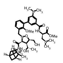 COC(=O)[C@@H](CN(C)C)NC(=O)c1cc(-c2cccc(CN3O[C@@H](CO)[C@@H]([C@H](C)O)[C@H]3C(=O)N[C@H]3C[C@H]4C[C@@H]([C@@H]3C)C4(C)C)c2OC)cc(N(C)C)c1